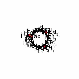 C=C1C(=O)N(C)[C@@H](CC(C)(C)OC)C(=O)N[C@H](C(C)C)C(=O)N(C)[C@H](CC(C)C)C(=O)N[C@H](C)C(=O)N[C@@H](C)C(=O)N(C)[C@@H](C=C(C)C)C(=O)N(C)[C@@H](CC(C)C)C(=O)N(C)[C@@H](C(C)C)C(=O)N(C)[C@@H]([C@H](O)[C@H](C)C/C=C/C)C(=O)N[C@@H](CC)C(=O)N1C